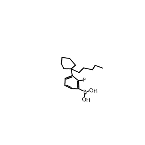 CCCCCC1(c2cccc(B(O)O)c2F)CCCCC1